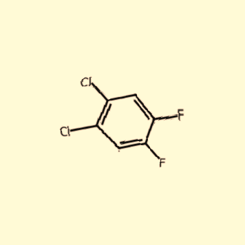 Fc1[c]c(Cl)c(Cl)cc1F